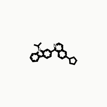 CC(C)n1c2ccccc2c2ccc(-c3nccc4cc(C5CCCC5)ccc34)cc21